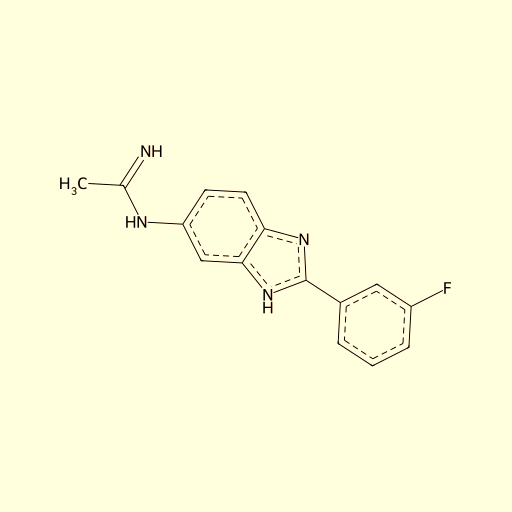 CC(=N)Nc1ccc2nc(-c3cccc(F)c3)[nH]c2c1